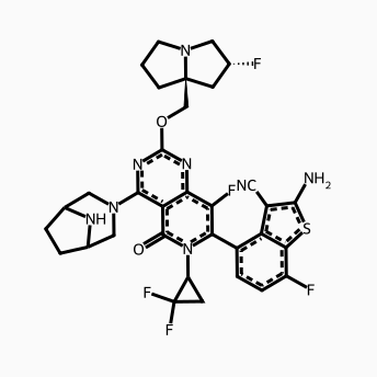 N#Cc1c(N)sc2c(F)ccc(-c3c(F)c4nc(OC[C@@]56CCCN5C[C@H](F)C6)nc(N5CC6CCC(C5)N6)c4c(=O)n3C3CC3(F)F)c12